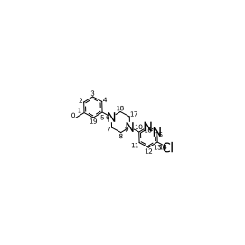 Cc1cccc(N2CCN(c3ccc(Cl)nn3)CC2)c1